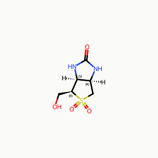 O=C1N[C@H]2[C@H](CS(=O)(=O)[C@H]2CO)N1